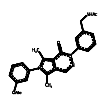 COc1cccc(-n2c(C)c3cnn(-c4cccc(CNC(C)=O)c4)c(=O)c3c2C)c1